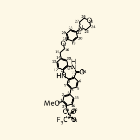 COc1cc(-c2ccc3c(c2)Nc2ccc(CCOc4ccc(N5CCOCC5)cc4)cc2NC3=O)ccc1OS(=O)(=O)C(F)(F)F